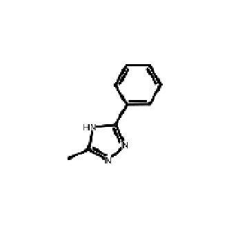 Cc1nnc(-c2cc[c]cc2)[nH]1